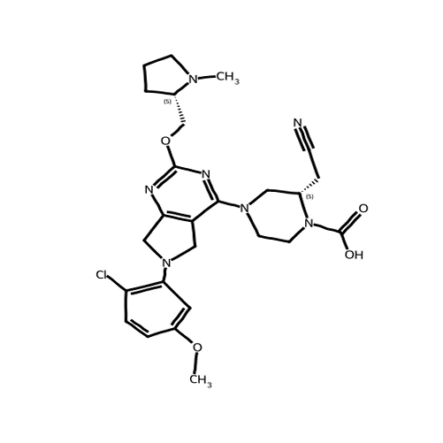 COc1ccc(Cl)c(N2Cc3nc(OC[C@@H]4CCCN4C)nc(N4CCN(C(=O)O)[C@@H](CC#N)C4)c3C2)c1